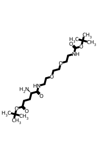 CC(C)(C)OC(=O)CC[C@H](N)C(=O)NCCOCCOCCNC(=O)OC(C)(C)C